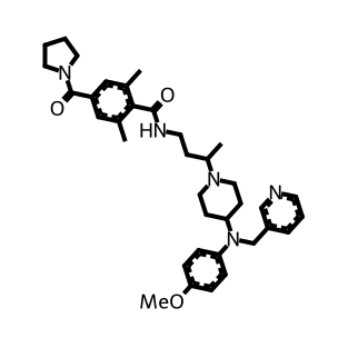 COc1ccc(N(Cc2cccnc2)C2CCN(C(C)CCNC(=O)c3c(C)cc(C(=O)N4CCCC4)cc3C)CC2)cc1